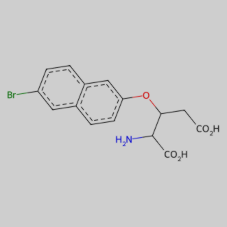 NC(C(=O)O)C(CC(=O)O)Oc1ccc2cc(Br)ccc2c1